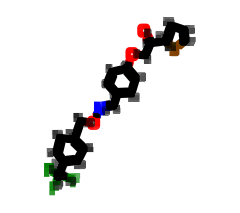 O=C(COc1ccc(/C=N/OCc2ccc(C(F)(F)F)cc2)cc1)c1cccs1